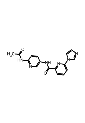 CC(=O)Nc1ccc(NC(=O)c2cccc(-n3ccnc3)n2)cn1